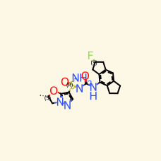 C[C@H]1Cn2ncc([S@](N)(=O)=NC(=O)Nc3c4c(cc5c3C[C@@H](F)C5)CCC4)c2O1